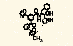 Cc1coc([C@H]2CCCN2C(=O)c2cc(C(=O)N[C@@H](Cc3ccccc3)[C@H](O)[C@H]3CCCN3)cc(-c3ncco3)c2)n1